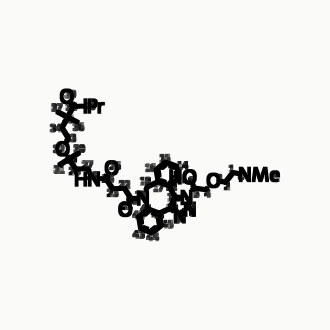 CNCCOCC(O)n1nnc2c1-c1ccccc1CN(C(=O)CCC(=O)NCCC(C)(C)OCCC(C)(C)C(=O)C(C)C)c1ccccc1-2